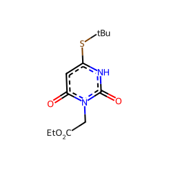 CCOC(=O)Cn1c(=O)cc(SC(C)(C)C)[nH]c1=O